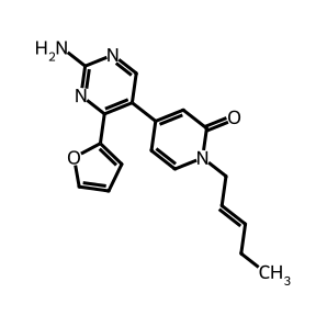 CC/C=C/Cn1ccc(-c2cnc(N)nc2-c2ccco2)cc1=O